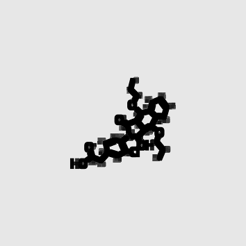 CCCOc1c2c(c(OCCC)c3ccccc13)C(O)N(c1ccc(CC(=O)O)cc1Cl)C2=O